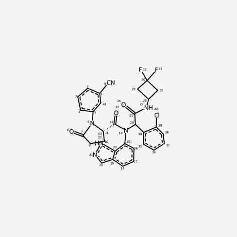 N#Cc1cccc(N2C(=O)CC[C@H]2C(=O)N(c2cccc3cn[nH]c23)C(C(=O)NC2CC(F)(F)C2)c2ccccc2Cl)c1